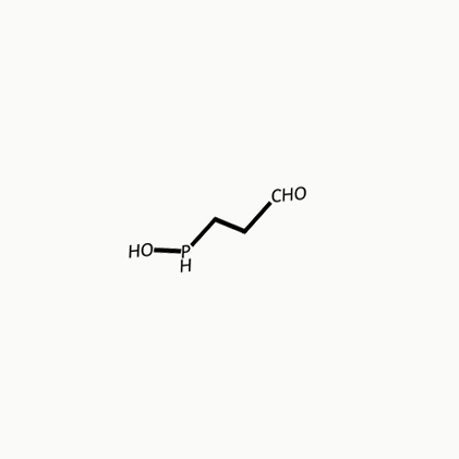 O=CCCPO